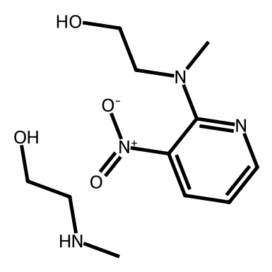 CN(CCO)c1ncccc1[N+](=O)[O-].CNCCO